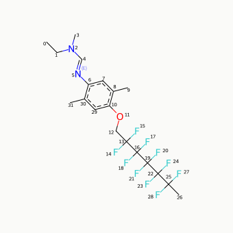 CCN(C)/C=N/c1cc(C)c(OCC(F)(F)C(F)(F)C(F)(F)C(F)(F)C(C)(F)F)cc1C